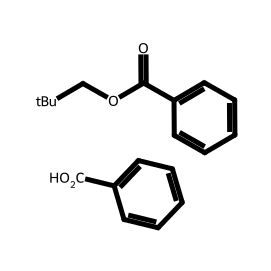 CC(C)(C)COC(=O)c1ccccc1.O=C(O)c1ccccc1